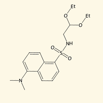 CCOC(CNS(=O)(=O)c1cccc2c(N(C)C)cccc12)OCC